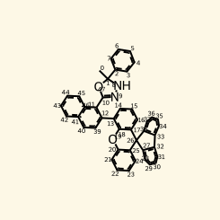 CC1(c2ccccc2)NN=C(c2c(-c3cccc4c3Oc3ccccc3C43c4ccccc4-c4ccccc43)ccc3ccccc23)O1